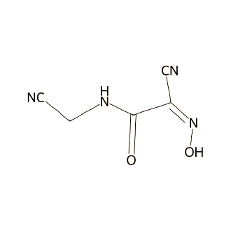 N#CCNC(=O)/C(C#N)=N\O